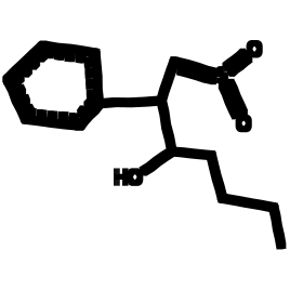 CCCCC(O)C(C=S(=O)=O)c1ccccc1